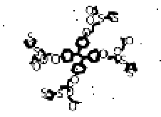 c1cc(SCC(COc2ccc(C(c3ccc(OCC(CSc4ccsc4)OCC4CO4)cc3)C(c3ccc(OCC(CSc4ccsc4)OC4CCO4)cc3)c3ccc(OCC(CSc4ccsc4)OC4CCO4)cc3)cc2)OCC2CO2)cs1